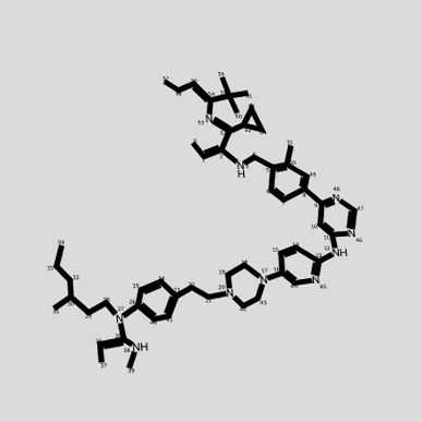 C\C=C(NCc1ccc(-c2cc(Nc3ccc(N4CCN(CCc5ccc(N(CCC(C)CCC)/C(=C/C)NC)cc5)CC4)cn3)ncn2)cc1C)/C(=N/C(=C\CC)C(C)(C)C)C1CC1